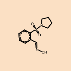 O=S(=O)(c1ccccc1C=NO)N1CCCC1